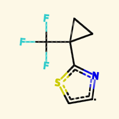 FC(F)(F)C1(c2n[c]cs2)CC1